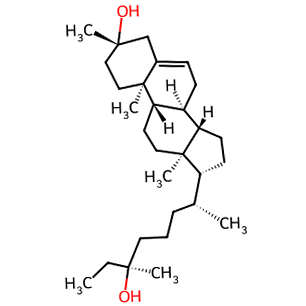 CC[C@](C)(O)CCC[C@@H](C)[C@H]1CC[C@H]2[C@@H]3CC=C4C[C@@](C)(O)CC[C@]4(C)[C@H]3CC[C@]12C